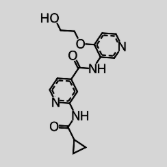 O=C(Nc1cnccc1OCCO)c1ccnc(NC(=O)C2CC2)c1